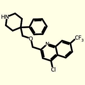 FC(F)(F)c1ccc2c(Cl)cc(COCC3(c4ccccc4)CCNCC3)nc2c1